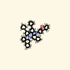 c1ccc(-c2ccc(N(c3cc4ccccc4c4ccccc34)c3cc4ccccc4c4c3c3ccc(-c5ccccc5)cc3n4-c3ccc4c(c3)oc3ccccc34)cc2)cc1